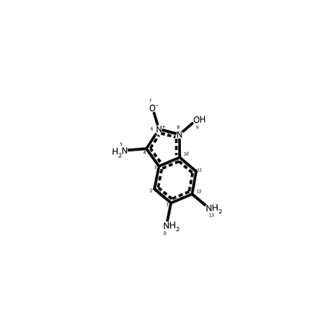 Nc1cc2c(N)[n+]([O-])n(O)c2cc1N